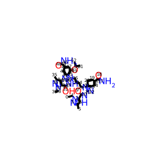 CCn1nc(C)cc1C(=O)Nc1nc2cc(C(N)=O)ccc2n1CCCCn1c(NC(O)c2cc(C)nn2CC)nc2cc(C(N)=O)cc(OC(C)C)c21